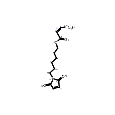 O=C(O)/C=C\C(=O)OCCCCCCN1C(=O)C=CC1=O